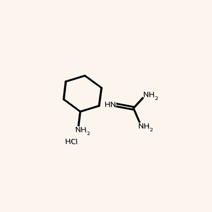 Cl.N=C(N)N.NC1CCCCC1